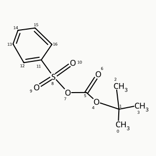 CC(C)(C)OC(=O)OS(=O)(=O)c1ccccc1